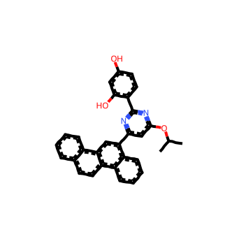 CC(C)Oc1cc(-c2cc3c4ccccc4ccc3c3ccccc23)nc(-c2ccc(O)cc2O)n1